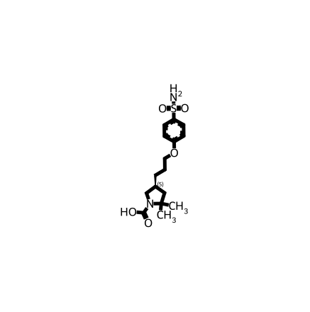 CC1(C)C[C@H](CCCOc2ccc(S(N)(=O)=O)cc2)CN1C(=O)O